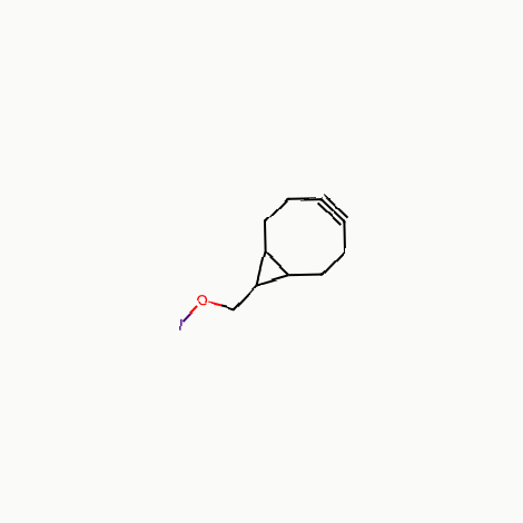 IOCC1C2CCC#CCCC21